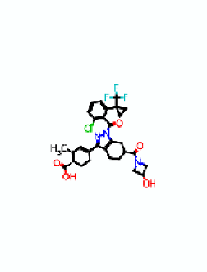 C[C@H]1C=C(c2nn(C(=O)c3c(Cl)cccc3C3(C(F)(F)F)CC3)c3c2CCC(C(=O)N2CC(O)C2)C3)CC[C@H]1C(=O)O